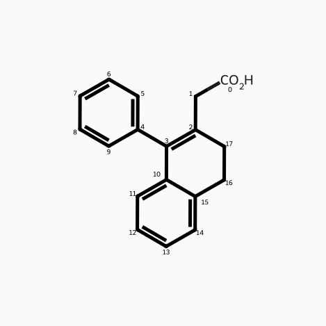 O=C(O)CC1=C(c2ccccc2)c2ccccc2CC1